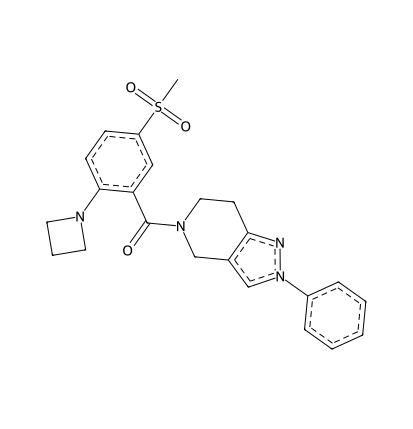 CS(=O)(=O)c1ccc(N2CCC2)c(C(=O)N2CCc3nn(-c4ccccc4)cc3C2)c1